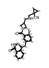 N#CC1(CNCC2CN(C(=O)c3cc(Cc4n[nH]c(=O)c5ccccc45)ccc3F)C2)CC1